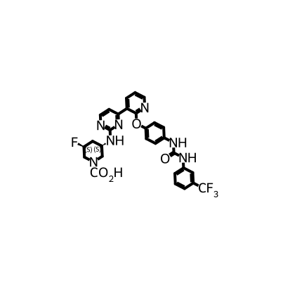 O=C(Nc1ccc(Oc2ncccc2-c2ccnc(N[C@H]3C[C@H](F)CN(C(=O)O)C3)n2)cc1)Nc1cccc(C(F)(F)F)c1